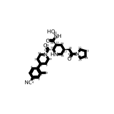 Cc1cc(C#N)ccc1C1CCN(C(=O)[C@H]2NC[C@H](CC(=O)N3CCCC3)C[C@@H]2C(=O)NO)CC1